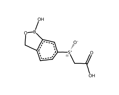 O=C(O)C[S@@+]([O-])c1ccc2c(c1)B(O)OC2